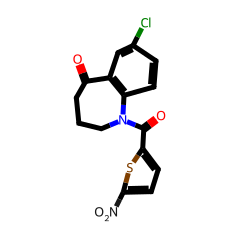 O=C1CCCN(C(=O)c2ccc([N+](=O)[O-])s2)c2ccc(Cl)cc21